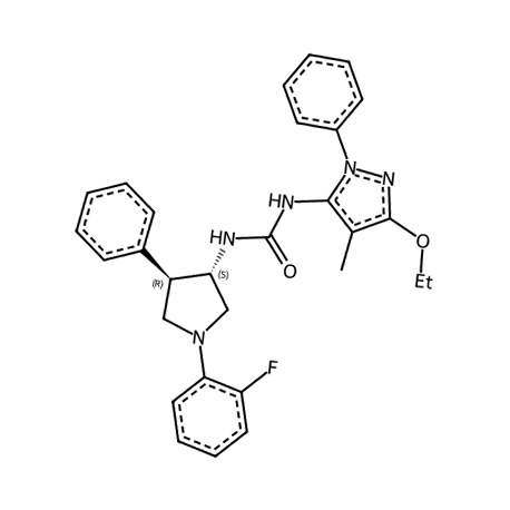 CCOc1nn(-c2ccccc2)c(NC(=O)N[C@@H]2CN(c3ccccc3F)C[C@H]2c2ccccc2)c1C